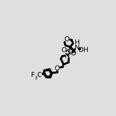 O=C(NO)C1(S(=O)(=O)N2CCC(COCc3ccc(C(F)(F)F)cc3)CC2)CCOCC1